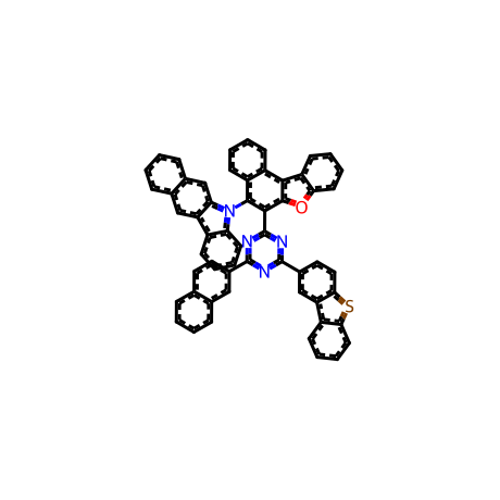 c1ccc2cc(-c3nc(-c4ccc5sc6ccccc6c5c4)nc(-c4c(-n5c6ccccc6c6cc7ccccc7cc65)c5ccccc5c5c4oc4ccccc45)n3)ccc2c1